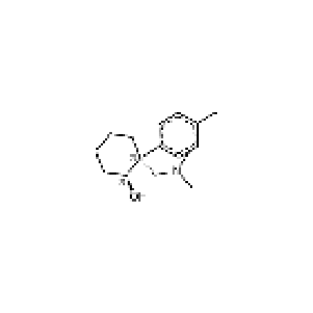 Cc1ccc([C@]2(CN(C)C)CCCC[C@@H]2O)cc1